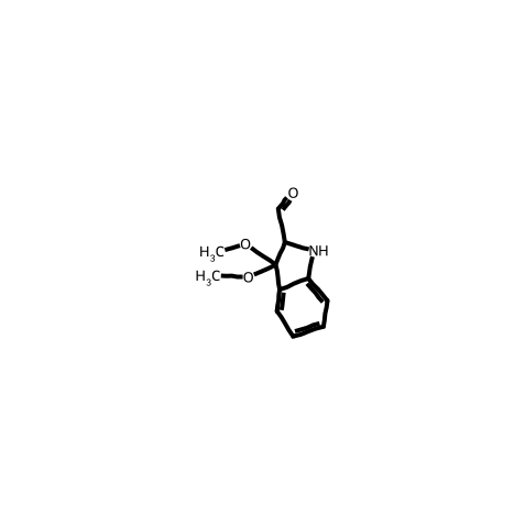 COC1(OC)c2ccccc2NC1C=O